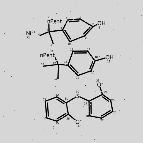 CCCCCC(C)(C)c1ccc(O)cc1.CCCCCC(C)(C)c1ccc(O)cc1.[Ni+2].[O-]c1ccccc1Sc1ccccc1[O-]